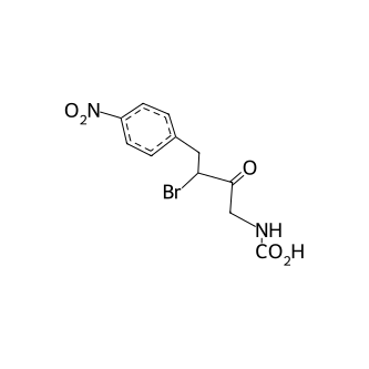 O=C(O)NCC(=O)C(Br)Cc1ccc([N+](=O)[O-])cc1